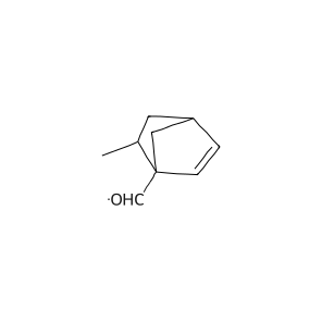 CC1CC2C=CC1([C]=O)C2